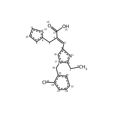 CCc1nc(/C=C(\Cc2cccs2)C(=O)O)cn1Cc1ccccc1Cl